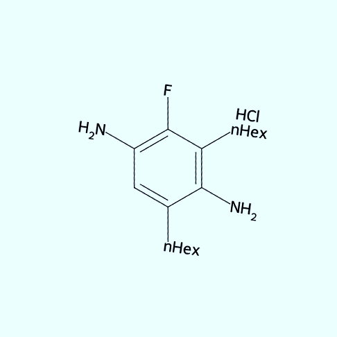 CCCCCCc1cc(N)c(F)c(CCCCCC)c1N.Cl